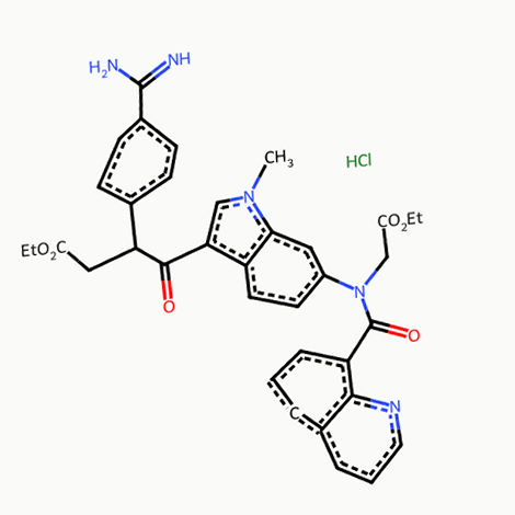 CCOC(=O)CC(C(=O)c1cn(C)c2cc(N(CC(=O)OCC)C(=O)c3cccc4cccnc34)ccc12)c1ccc(C(=N)N)cc1.Cl